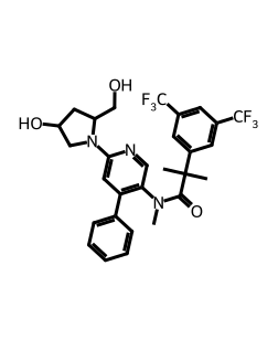 CN(C(=O)C(C)(C)c1cc(C(F)(F)F)cc(C(F)(F)F)c1)c1cnc(N2CC(O)CC2CO)cc1-c1ccccc1